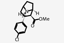 COC(=O)[C@H]1[C@H](c2ccc(Cl)cc2)CC2CC[C@@H]1N2C